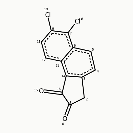 O=C1Cc2ccc3c(Cl)c(Cl)ccc3c2C1=O